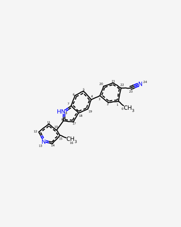 Cc1cc(-c2ccc3[nH]c(-c4ccncc4C)cc3c2)ccc1C#N